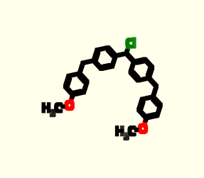 COc1ccc(Cc2ccc(C(Cl)c3ccc(Cc4ccc(OC)cc4)cc3)cc2)cc1